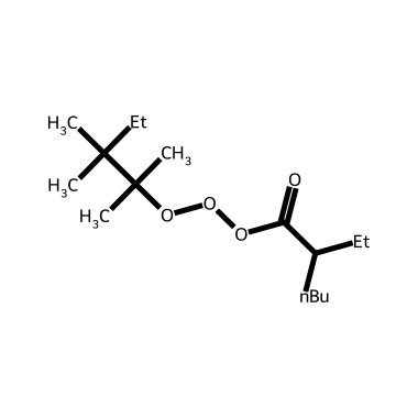 CCCCC(CC)C(=O)OOOC(C)(C)C(C)(C)CC